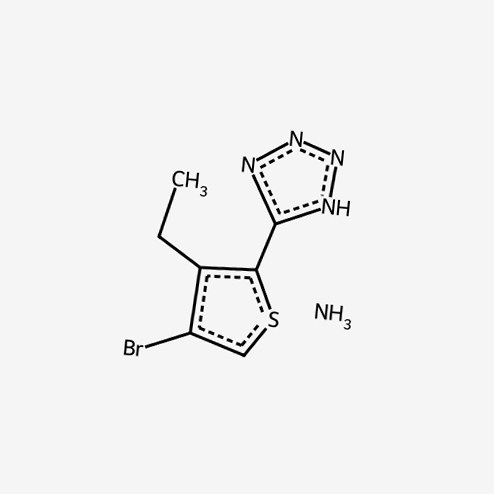 CCc1c(Br)csc1-c1nnn[nH]1.N